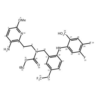 COc1ccc(N)c(CCN(Cc2cc(OC(F)(F)F)ccc2Nc2cc(F)c(F)cc2C(=O)O)C(=O)OC(C)(C)C)n1